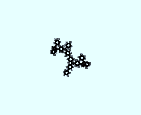 c1ccc(-c2ccc(N(c3ccc(-c4ccc(N(c5ccccc5)c5ccc(-c6c(-c7ccccc7)nc7ccccn67)cc5)cc4)cc3)c3ccc(-c4nc5ccccn5c4-c4ccccc4)cc3)cc2)cc1